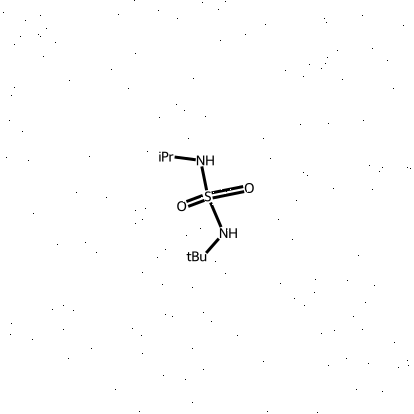 CC(C)NS(=O)(=O)NC(C)(C)C